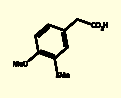 COc1ccc(CC(=O)O)cc1SC